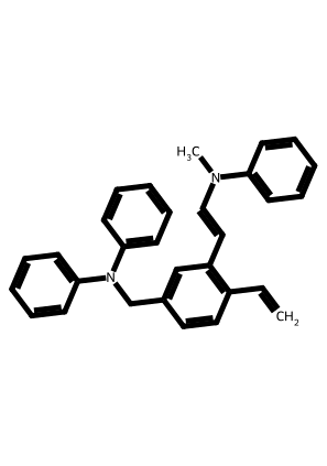 C=Cc1ccc(CN(c2ccccc2)c2ccccc2)cc1/C=C/N(C)c1ccccc1